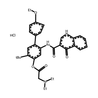 CCOc1ccc(-c2cc(C(C)(C)C)c(OC(=O)CN(CC)CC)cc2[AsH]C(=O)c2c[nH]c3ccccc3c2=O)cc1.Cl